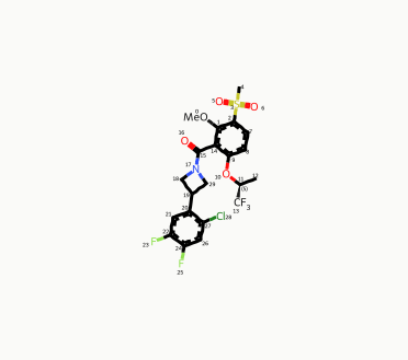 COc1c(S(C)(=O)=O)ccc(O[C@@H](C)C(F)(F)F)c1C(=O)N1CC(c2cc(F)c(F)cc2Cl)C1